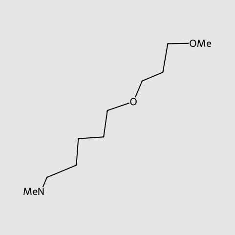 CNCCCCCOCCCOC